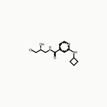 O=C(NC[C@H](O)CCl)c1ccnc(NC2CCC2)c1